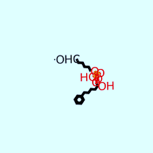 O=[C]CCCCCOP(=O)(O)OOC(O)CCCCc1ccccc1